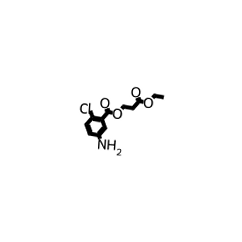 CCOC(=O)CCOC(=O)c1cc(N)ccc1Cl